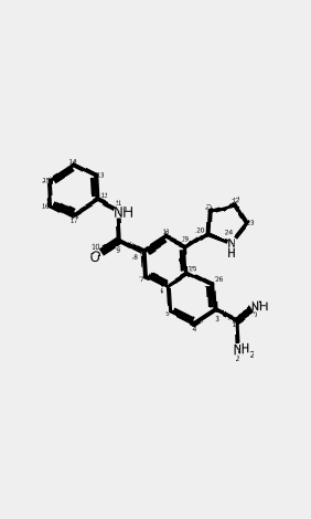 N=C(N)c1ccc2cc(C(=O)Nc3ccccc3)cc(C3CCCN3)c2c1